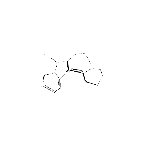 CON1C2CC=CC=C2C2=C3CCCCN3CCC21